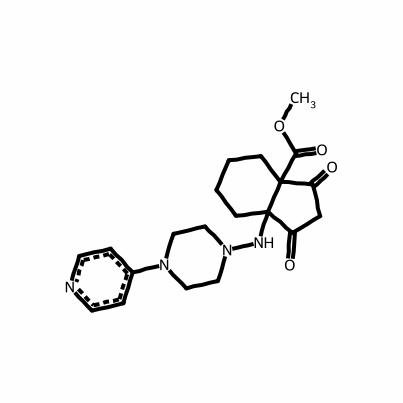 COC(=O)C12CCCCC1(NN1CCN(c3ccncc3)CC1)C(=O)CC2=O